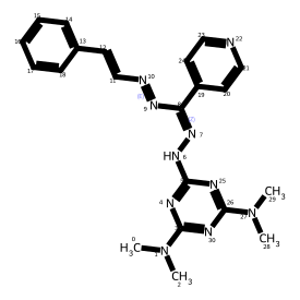 CN(C)c1nc(N/N=C(\N=N\C=Cc2ccccc2)c2ccncc2)nc(N(C)C)n1